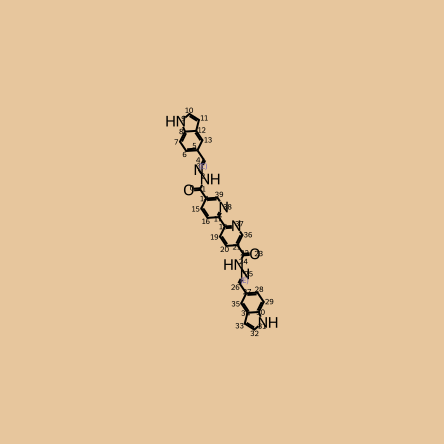 O=C(N/N=C/c1ccc2[nH]ccc2c1)c1ccc(-c2ccc(C(=O)N/N=C/c3ccc4[nH]ccc4c3)cn2)nc1